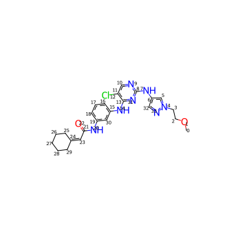 COCCn1cc(Nc2ncc(Cl)c(Nc3cccc(NC(=O)C=C4CCCCC4)c3)n2)cn1